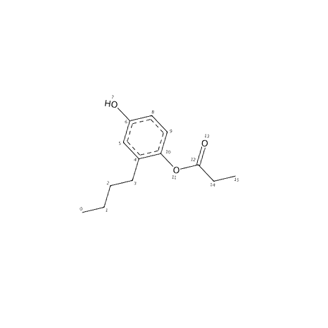 CCCCc1cc(O)ccc1OC(=O)CC